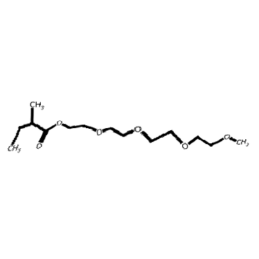 CCC(C)C(=O)OCCOCCOCCOCCOC